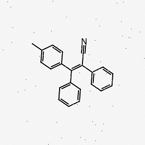 Cc1ccc(C(=C(C#N)c2ccccc2)c2ccccc2)cc1